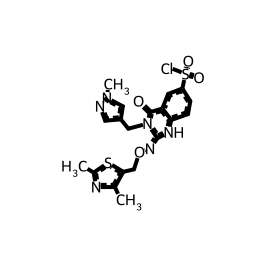 Cc1nc(C)c(CON=c2[nH]c3ccc(S(=O)(=O)Cl)cc3c(=O)n2Cc2cnn(C)c2)s1